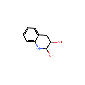 OC1Cc2ccccc2NC1O